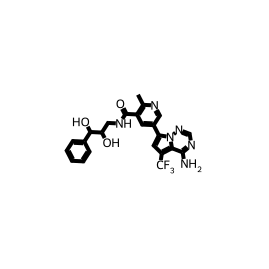 Cc1ncc(-c2cc(C(F)(F)F)c3c(N)ncnn23)cc1C(=O)NCC(O)C(O)c1ccccc1